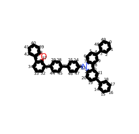 c1ccc(-c2ccc3c(c2)c2cc(-c4ccccc4)ccc2n3-c2ccc(-c3ccc(-c4cccc5c4oc4ccccc45)cc3)cc2)cc1